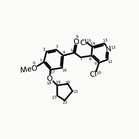 COc1ccc(C(=O)Cc2c(Cl)cncc2Cl)cc1OC1CCCC1